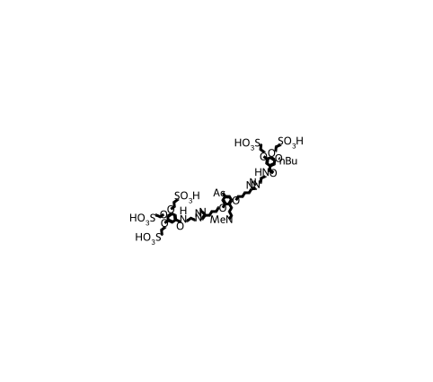 CCCCOc1cc(C(=O)NCCCn2cc(CCCCOc3cc(C(C)=O)cc(OCCCCc4cn(CCCNC(=O)c5cc(OCCCS(=O)(=O)O)c(OCCS(=O)(=O)O)c(OCCCS(=O)(=O)O)c5)nn4)c3CCCNC)nn2)cc(OCCCS(=O)(=O)O)c1OCCCS(=O)(=O)O